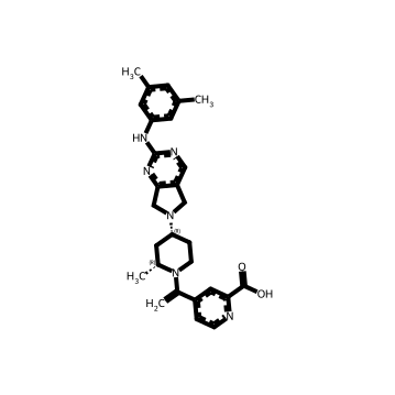 C=C(c1ccnc(C(=O)O)c1)N1CC[C@@H](N2Cc3cnc(Nc4cc(C)cc(C)c4)nc3C2)C[C@H]1C